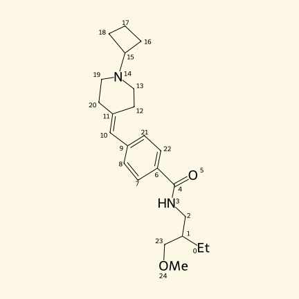 CCC(CNC(=O)c1ccc(C=C2CCN(C3CCC3)CC2)cc1)COC